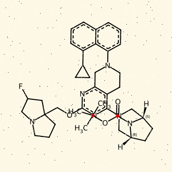 CC(C)(C)OC(=O)N1[C@@H]2CC[C@H]1CN(c1nc(OCC34CCCN3CC(F)C4)nc3c1CCN(c1cccc4cccc(C5CC5)c14)C3)C2